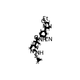 CCOc1cncc(-c2ccc(NC(=O)C(C)(C)c3ccnc(NSC4CC4)n3)c(C#N)c2)n1